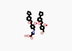 COc1cc(C=O)ccc1-c1cc2cc(C3CCCC3)ccc2o1.COc1cc(CN2CC(C(=O)O)C2)ccc1-c1cc2cc(C3CCCC3)ccc2o1